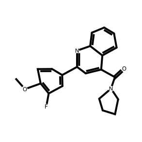 COc1ccc(-c2cc(C(=O)N3CCCC3)c3ccccc3n2)cc1F